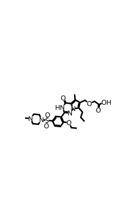 CCCc1c(COCC(=O)O)c(C)c2c(=O)[nH]c(-c3cc(S(=O)(=O)N4CCN(C)CC4)ccc3OCC)nn12